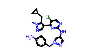 Cn1ncc(-c2nc(Nc3cnn(Cc4ccc(N)cc4)c3)ncc2Cl)c1CC1CC1